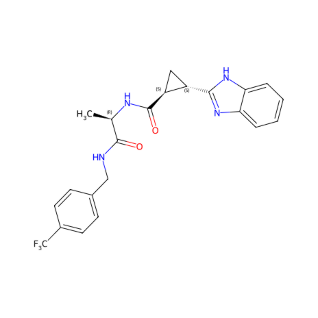 C[C@@H](NC(=O)[C@H]1C[C@@H]1c1nc2ccccc2[nH]1)C(=O)NCc1ccc(C(F)(F)F)cc1